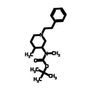 CC1CCN(CCc2ccccc2)CC1N(C)C(=O)OC(C)(C)C